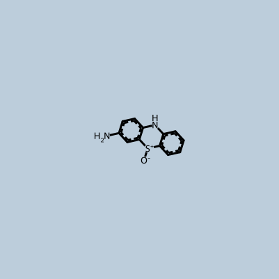 Nc1ccc2c(c1)[S+]([O-])c1ccccc1N2